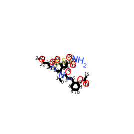 CCN(C(=O)/C=C/c1ccccc1OC(C)=O)[C@H]1CN(CCCOC)S(=O)(=O)c2sc(S(N)(=O)=O)cc21